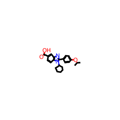 CC(C)Oc1ccc(-c2nc3cc(C(=O)O)ccc3n2C2CCCCC2)cc1